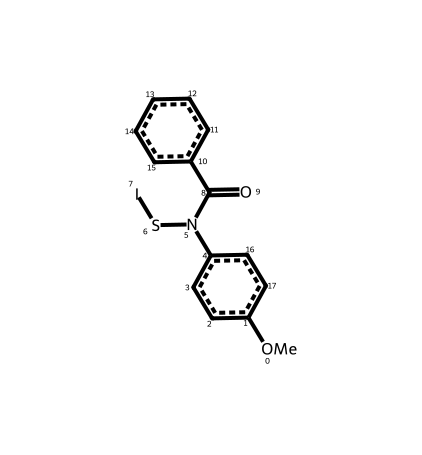 COc1ccc(N(SI)C(=O)c2ccccc2)cc1